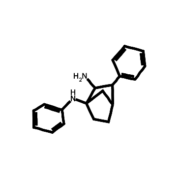 NC1C(c2ccccc2)C2CCC1(Nc1ccccc1)C2